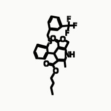 CCCCOC(=O)C1=C(C)NC2=C(C(=O)OC2)C1c1ccccc1SCc1cccc(C(F)(F)F)c1